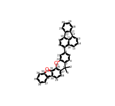 CC1(C)c2ccc(-c3ccc4c5c(cccc35)-c3ccccc3-4)cc2Oc2c1ccc1c2oc2ccccc21